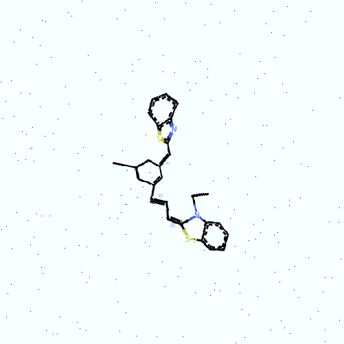 CCN1/C(=C\C=C\C2=CC(=C/c3nc4ccccc4s3)/CC(C)C2)Sc2ccccc21